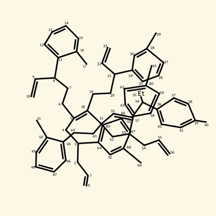 C=CCC(CC(CCC(C=C)c1ccccc1C)=C(CCC(C=C)c1cccc(C)c1)C(C=CC(CC)c1ccc(C)cc1)(CCc1ccccc1C)CC(CC=C)c1ccc(C)cc1)c1cccc(C)c1